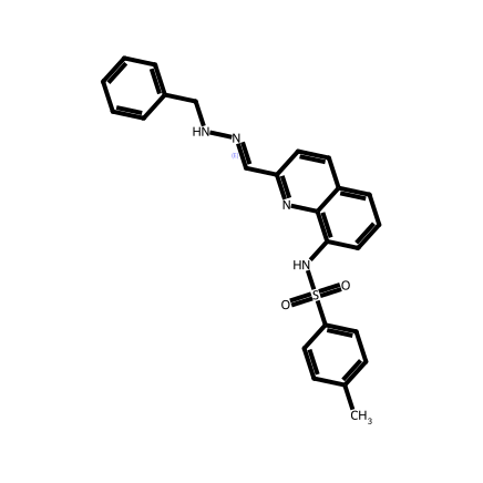 Cc1ccc(S(=O)(=O)Nc2cccc3ccc(/C=N/NCc4ccccc4)nc23)cc1